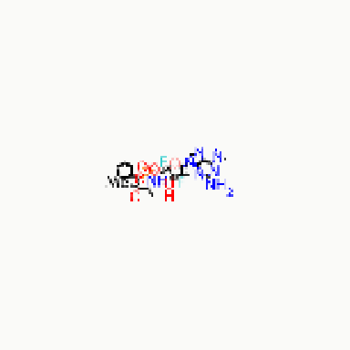 COC(=O)[C@H](C)NP(=O)(OC[C@@]1(F)O[C@@H](n2cnc3c(N(C)C)nc(N)nc32)[C@](C)(F)[C@@H]1O)Oc1ccccc1